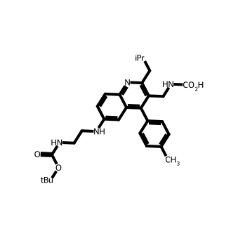 Cc1ccc(-c2c(CNC(=O)O)c(CC(C)C)nc3ccc(NCCNC(=O)OC(C)(C)C)cc23)cc1